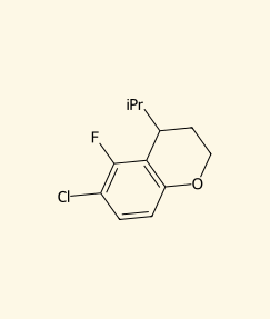 CC(C)C1CCOc2ccc(Cl)c(F)c21